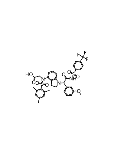 COc1cccc(C(C(=O)NS(=O)(=O)c2ccc(C(F)(F)F)cc2)N2CCc3c2cccc3N(CC(=O)O)S(=O)(=O)c2c(C)cc(C)cc2C)c1